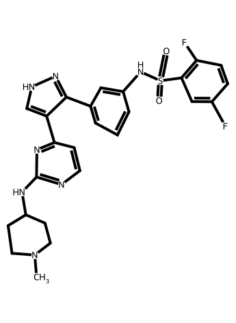 CN1CCC(Nc2nccc(-c3c[nH]nc3-c3cccc(NS(=O)(=O)c4cc(F)ccc4F)c3)n2)CC1